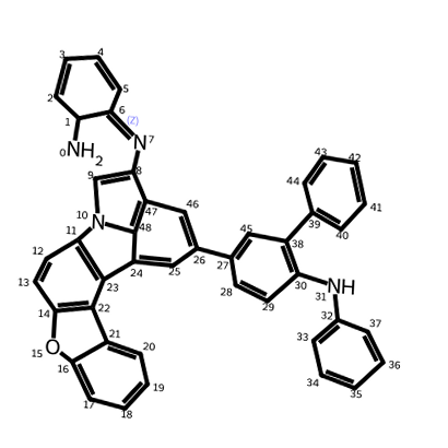 NC1C=CC=C/C1=N/c1cn2c3ccc4oc5ccccc5c4c3c3cc(-c4ccc(Nc5ccccc5)c(-c5ccccc5)c4)cc1c32